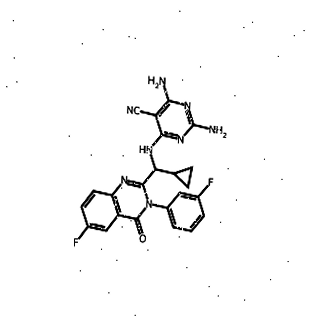 N#Cc1c(N)nc(N)nc1NC(c1nc2ccc(F)cc2c(=O)n1-c1cccc(F)c1)C1CC1